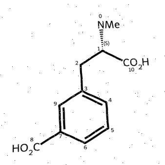 CN[C@@H](Cc1cccc(C(=O)O)c1)C(=O)O